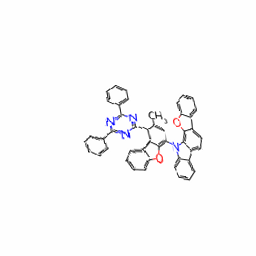 Cc1cc(-n2c3ccccc3c3ccc4c5ccccc5oc4c32)c2oc3ccccc3c2c1-c1nc(-c2ccccc2)nc(-c2ccccc2)n1